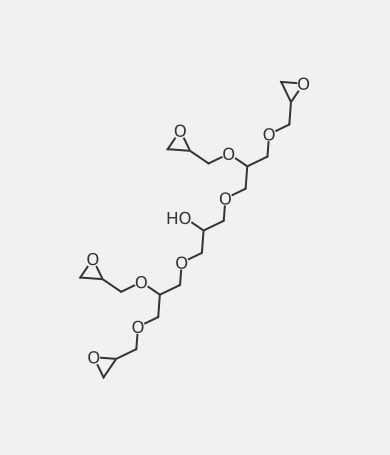 OC(COCC(COCC1CO1)OCC1CO1)COCC(COCC1CO1)OCC1CO1